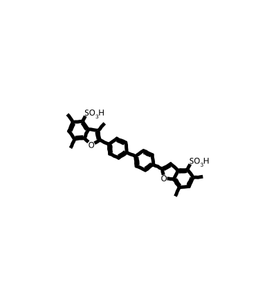 Cc1cc(C)c2oc(-c3ccc(-c4ccc(-c5oc6c(C)cc(C)c(S(=O)(=O)O)c6c5C)cc4)cc3)cc2c1S(=O)(=O)O